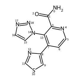 NC(=O)c1nccc(-c2cscn2)c1-n1ccnn1